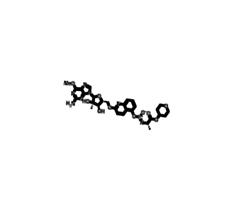 COc1nc(N)nc2c1ncn2C1O[C@H](COc2ccc3c(O/[P+]([O-])=N/[C@@H](C)C(=O)OC4CCOCC4)cccc3n2)[C@@H](O)[C@@]1(C)O